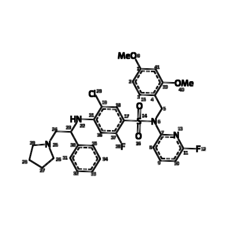 COc1ccc(CN(c2cccc(F)n2)S(=O)(=O)c2cc(Cl)c(NC(CN3CCCC3)c3ccccc3)cc2F)c(OC)c1